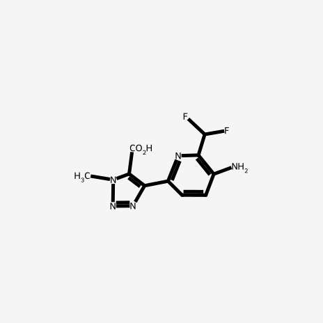 Cn1nnc(-c2ccc(N)c(C(F)F)n2)c1C(=O)O